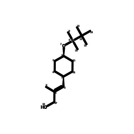 C/C(=C\[C@H]1CC[C@@H](O[Si](C)(C)C(C)(C)C)CC1)CO